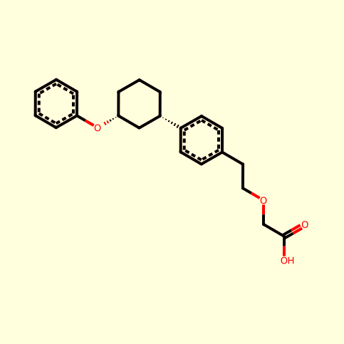 O=C(O)COCCc1ccc([C@H]2CCC[C@@H](Oc3ccccc3)C2)cc1